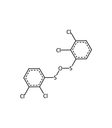 Clc1cccc(SOSc2cccc(Cl)c2Cl)c1Cl